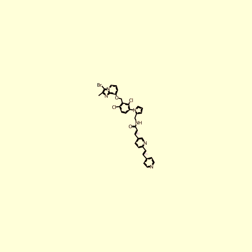 Cc1nc2c(OCc3c(Cl)ccc(-n4cccc4CNC(=O)/C=C/c4ccc(/C=C/c5ccncc5)nc4)c3Cl)cccn2c1Br